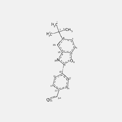 CC(C)(C)c1ccc2oc(-c3ccc(C=O)cc3)nc2c1